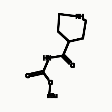 CCCCOC(=O)NC(=O)C1CCNCC1